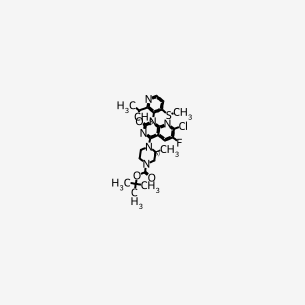 CSc1ccnc(C(C)C)c1-n1c(=O)nc(N2CCN(C(=O)OC(C)(C)C)C[C@@H]2C)c2cc(F)c(Cl)nc21